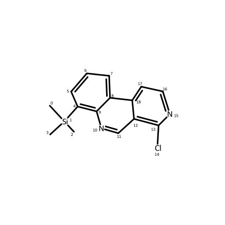 C[Si](C)(C)c1cccc2c1ncc1c(Cl)nccc12